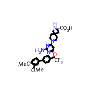 COc1ccc(-c2ccc([C@@H](Oc3cc(N4CCC5(CC4)CN[C@H](C(=O)O)C5)nc(N)n3)C(F)(F)F)cc2)cc1OC